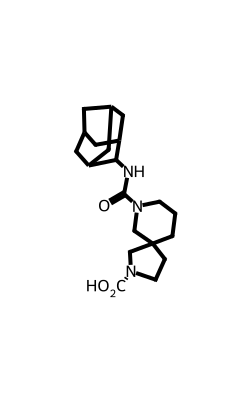 O=C(O)N1CCC2(CCCN(C(=O)NC3C4CC5CC(C4)CC3C5)C2)C1